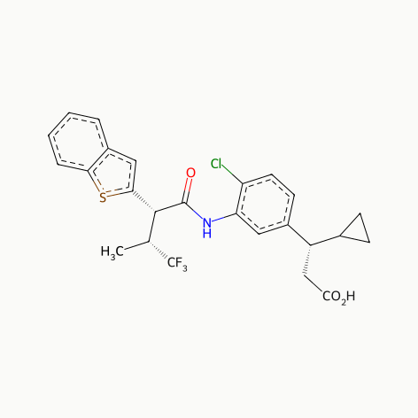 C[C@H]([C@@H](C(=O)Nc1cc([C@@H](CC(=O)O)C2CC2)ccc1Cl)c1cc2ccccc2s1)C(F)(F)F